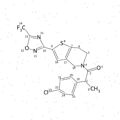 CC(C(=O)N1CCc2sc(-c3noc(C(F)(F)F)n3)cc2C1)c1ccc(Cl)cc1